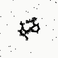 BrN(Br)C1CCCCC1.C=Cn1ccn(C)[c]1=[Pt]